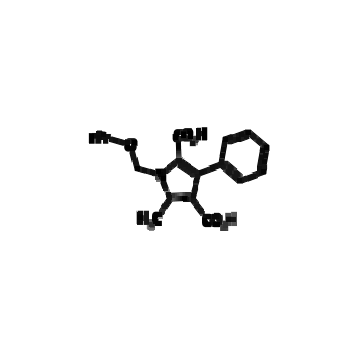 CCCOCn1c(C)c(C(=O)O)c(-c2ccccc2)c1C(=O)O